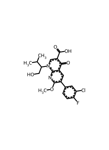 COc1nc2c(cc1-c1ccc(F)c(Cl)c1)c(=O)c(C(=O)O)cn2C(CO)C(C)C